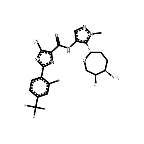 Cn1ncc(NC(=O)c2nc(-c3ccc(C(F)(F)F)cc3F)sc2N)c1[C@@H]1CC[C@@H](N)[C@@H](F)CO1